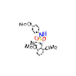 COc1ccc(NS(=O)(=O)/C(C#N)=C/c2c(OC)cccc2OC)cc1